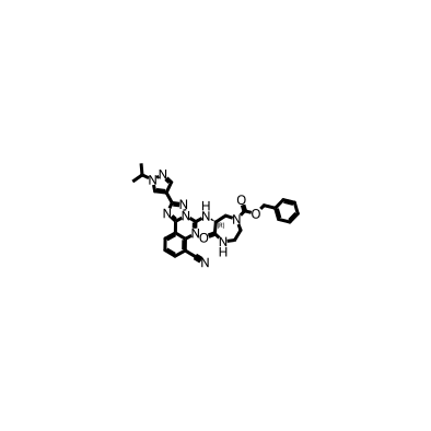 CC(C)n1cc(-c2nc3c4cccc(C#N)c4nc(N[C@@H]4CN(C(=O)OCc5ccccc5)CCNC4=O)n3n2)cn1